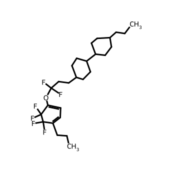 CCCC1=CC=C(OC(F)(F)CCC2CCC(C3CCC(CCC)CC3)CC2)C(F)(F)C1(F)F